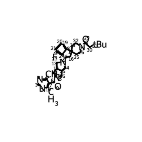 Cc1ncnc(C)c1C(=O)N1CC2CN(CCC3(c4cccc(F)c4)CCN(C(=O)CC(C)(C)C)CC3)CC2C1